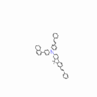 CC1(C)c2cc(/C=C/c3ccccc3)ccc2-c2ccc(N(c3ccc(/C=C/c4ccccc4)cc3)c3ccc(-c4cccc5c4C=CCC5)cc3)cc21